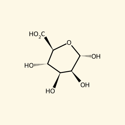 O=C(O)[C@H]1O[C@H](O)[C@@H](O)[C@@H](O)[C@@H]1O